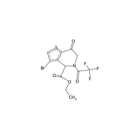 CCOC(=O)C1c2c(Br)csc2C(=O)CN1C(=O)C(F)(F)F